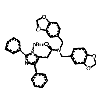 CCCCn1c(-c2ccccc2)nc(-c2ccccc2)c1CC(=O)N(Cc1ccc2c(c1)OCO2)Cc1ccc2c(c1)OCO2